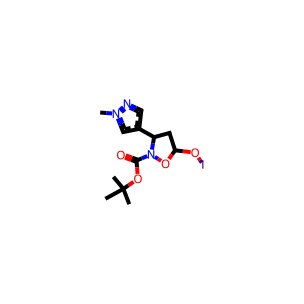 Cn1cc(C2CC(OI)ON2C(=O)OC(C)(C)C)cn1